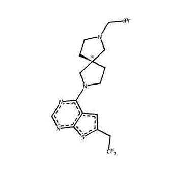 CC(C)CN1CC[C@]2(CCN(c3ncnc4sc(CC(F)(F)F)cc34)C2)C1